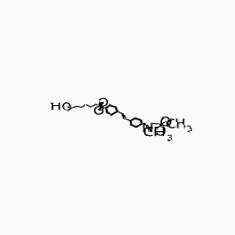 COC(=O)CN(C)c1ccc(/C=C/c2ccc(S(=O)(=O)CCCCCCO)cc2)cc1